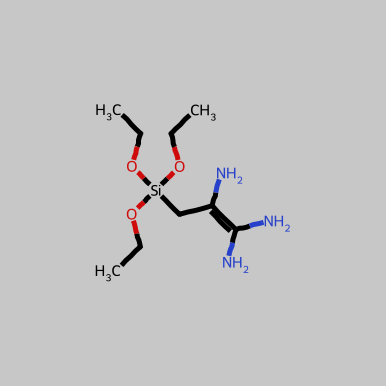 CCO[Si](CC(N)=C(N)N)(OCC)OCC